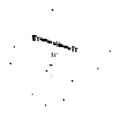 C[CH](C)[Al+][CH](C)C.[H-].[H-].[Li+]